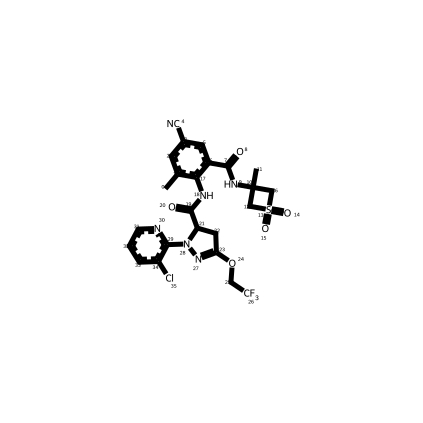 Cc1cc(C#N)cc(C(=O)NC2(C)CS(=O)(=O)C2)c1NC(=O)C1CC(OCC(F)(F)F)=NN1c1ncccc1Cl